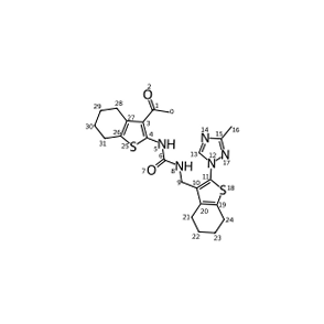 CC(=O)c1c(NC(=O)NCc2c(-n3cnc(C)n3)sc3c2CCCC3)sc2c1CCCC2